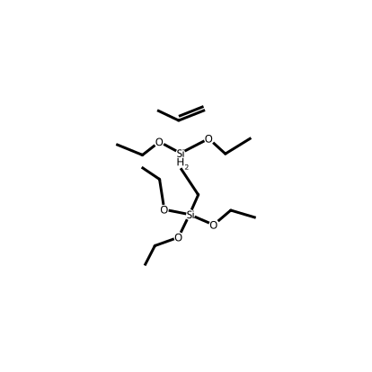 C=CC.CCO[SiH2]OCC.CCO[Si](CC)(OCC)OCC